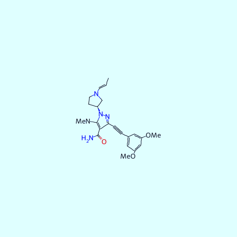 CC=CN1CC[C@H](n2nc(C#Cc3cc(OC)cc(OC)c3)c(C(N)=O)c2NC)C1